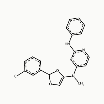 CN(C1=COC(c2cccc(Cl)c2)O1)c1ccnc(Nc2ccccc2)n1